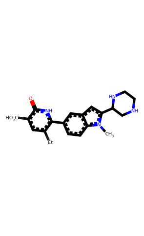 CCc1cc(C(=O)O)c(=O)[nH]c1-c1ccc2c(c1)cc(C1CNCCN1)n2C